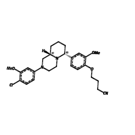 COc1cc(N2CCN3[C@@H](CCC[C@@H]3c3ccc(OCCCC#N)c(OC)c3)C2)ccc1Cl